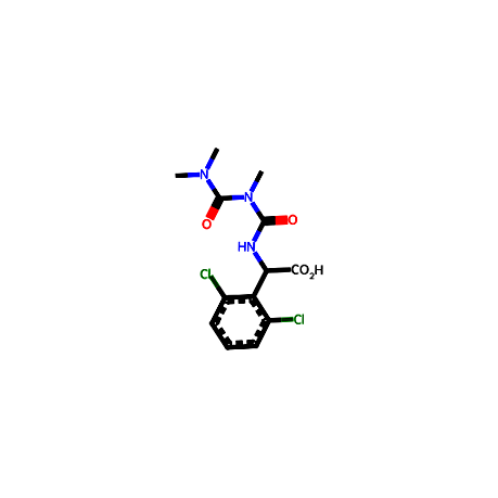 CN(C)C(=O)N(C)C(=O)NC(C(=O)O)c1c(Cl)cccc1Cl